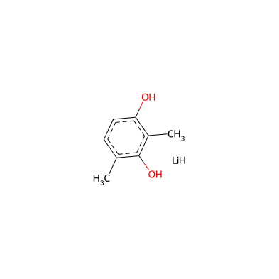 Cc1ccc(O)c(C)c1O.[LiH]